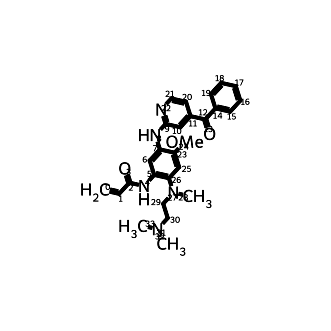 C=CC(=O)Nc1cc(Nc2cc(C(=O)c3ccccc3)ccn2)c(OC)cc1N(C)CCN(C)C